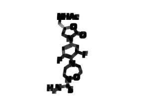 CC(=O)NC[C@H]1CN(c2cc(F)c(N3CCON(C(N)=S)CC3)c(F)c2)C(=O)O1